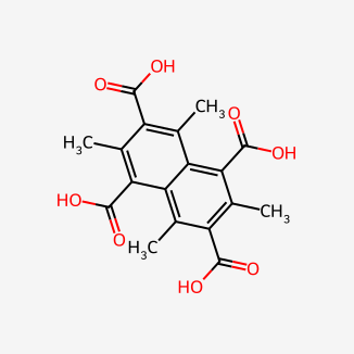 Cc1c(C(=O)O)c(C)c2c(C(=O)O)c(C)c(C(=O)O)c(C)c2c1C(=O)O